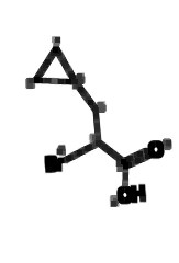 O=C(O)C(Br)C[C]1CC1